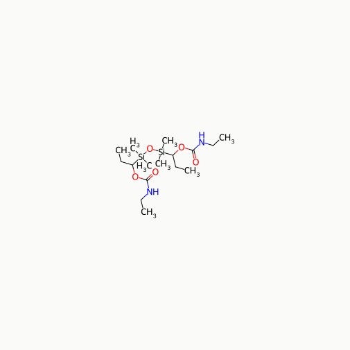 CCNC(=O)OC(CC)[Si](C)(C)O[Si](C)(C)C(CC)OC(=O)NCC